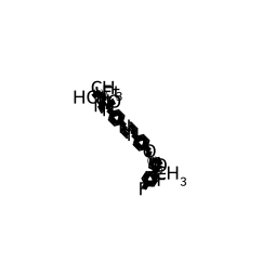 CC[C@@H]([C@H](C)O)n1ncn(-c2ccc(N3CCN(c4ccc(OC[C@@H]5CO[C@@](C)(c6ccc(F)cc6F)C5)cc4)CC3)cc2)c1=O